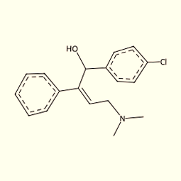 CN(C)CC=C(c1ccccc1)C(O)c1ccc(Cl)cc1